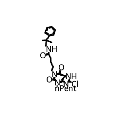 CCCCCn1c(=O)n(CCCCC(=O)NCC(C)(C)c2ccccc2)c(=O)c2[nH]c(Cl)nc21